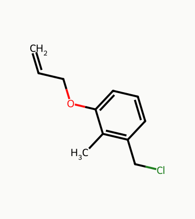 C=CCOc1cccc(CCl)c1C